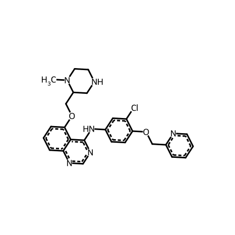 CN1CCNCC1COc1cccc2ncnc(Nc3ccc(OCc4ccccn4)c(Cl)c3)c12